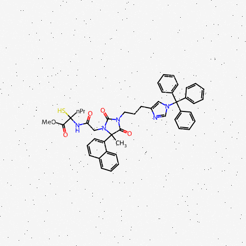 CCCC(S)(NC(=O)CN1C(=O)N(CCCc2cn(C(c3ccccc3)(c3ccccc3)c3ccccc3)cn2)C(=O)C1(C)c1cccc2ccccc12)C(=O)OC